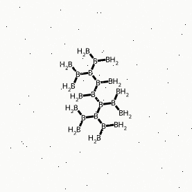 BB(B)B(B(B)B)B(B)B(B)B(B(B)B)B(B(B)B)B(B)B